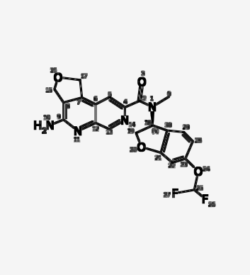 CN(C(=O)c1cc2c3c(c(N)nc2cn1)COC3)[C@@H]1COc2cc(OC(F)F)ccc21